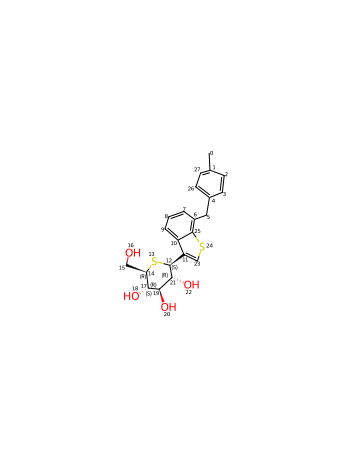 Cc1ccc(Cc2cccc3c([C@@H]4S[C@H](CO)[C@@H](O)[C@H](O)[C@H]4O)csc23)cc1